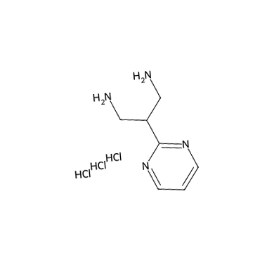 Cl.Cl.Cl.NCC(CN)c1ncccn1